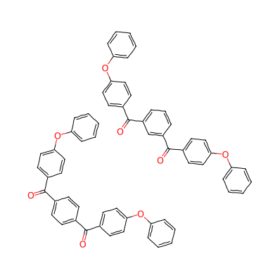 O=C(c1ccc(Oc2ccccc2)cc1)c1ccc(C(=O)c2ccc(Oc3ccccc3)cc2)cc1.O=C(c1ccc(Oc2ccccc2)cc1)c1cccc(C(=O)c2ccc(Oc3ccccc3)cc2)c1